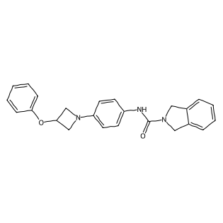 O=C(Nc1ccc(N2CC(Oc3ccccc3)C2)cc1)N1Cc2ccccc2C1